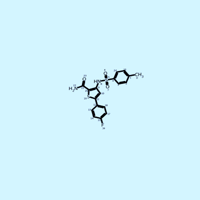 Cc1ccc(S(=O)(=O)Nc2cc(-c3ccc(F)cc3)sc2C(N)=O)cc1